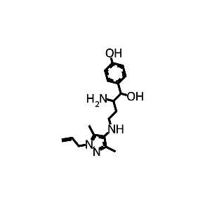 C=CCn1nc(C)c(NCCC(N)C(O)c2ccc(O)cc2)c1C